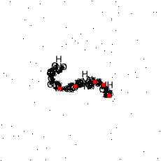 O=C1CC[C@@H](c2cccc(OCC(=O)N3CCC(CCCN4CCN(c5ccc(Nc6ncnc7c6ncn7C6CC(NC(=O)Cc7ccccc7)C6)cc5)CC4)CC3)c2)C(=O)N1